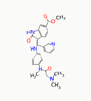 COC(=O)c1ccc2c(c1)NC(=O)/C2=C(\Nc1ccc(N(C)C(=O)CN(C)C)cc1)c1cccnc1